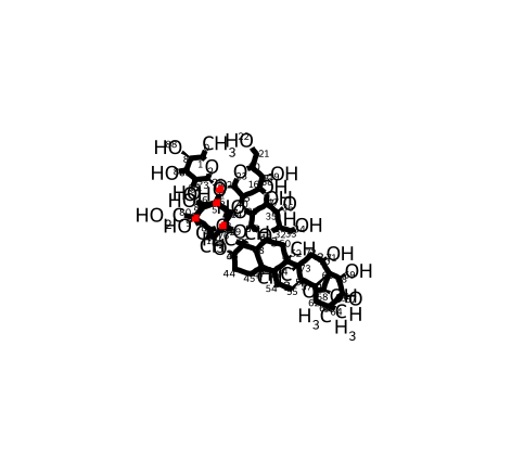 CC1O[C@@H](OC2C(O)[C@@H](O)C(C)O[C@H]2OC2C(O)[C@@H](O)C(CO)O[C@H]2OC2CC(O[C@@H]3OC(CO)[C@H](O)C(O)C3O)[C@H](O[C@H]3CC[C@@]4(C)C(CC[C@]5(C)C4CC[C@]46O[C@H](O)[C@]7(C4CC(C)(C)[C@@H](O)[C@@H]7O)[C@H](O)C[C@]65C)C3(C)C)OC(C(=O)O)C2O)C(O)C(O)[C@H]1O